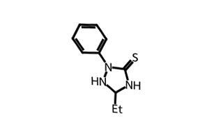 CCC1NC(=S)N(c2ccccc2)N1